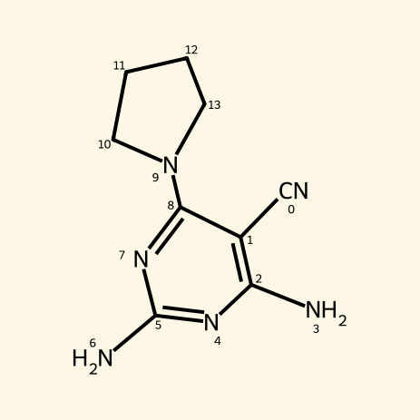 N#Cc1c(N)nc(N)nc1N1CCCC1